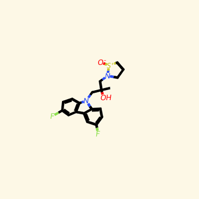 CC(O)(CN1CCC[S+]1[O-])Cn1c2ccc(F)cc2c2cc(F)ccc21